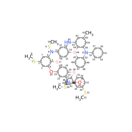 CSc1cc2c3c(c1)N(SC)c1cc4c(cc1B3c1cc3c(cc1O2)N(SC)c1cc(SC)cc2c1B3c1ccccc1O2)B1c2ccccc2N(c2ccccc2)c2cc(C)cc(c21)N4